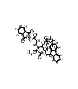 CN(C(=O)OCC1c2ccccc2-c2ccccc21)[C@@H](CCC(=O)ON1C(=O)c2ccccc2C1=O)C(O)OC(C)(C)C